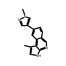 Cc1c[nH]c2ncc3ccc(-c4cnn(C)c4)cc3c12